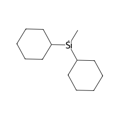 C[Si](C1CCCCC1)C1CCCCC1